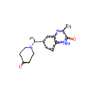 CCc1nc2cc(C(C(C)C)N3CCC(=O)CC3)ccc2[nH]c1=O